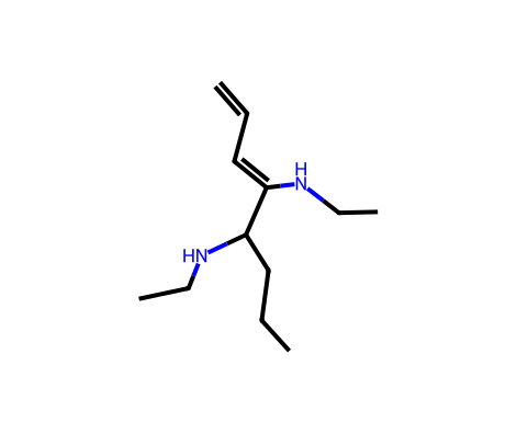 C=CC=C(NCC)C(CCC)NCC